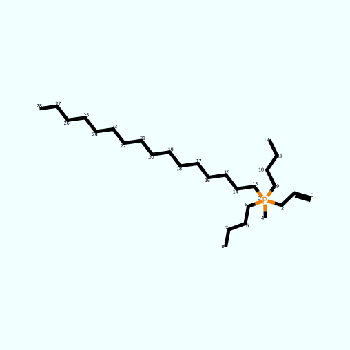 C=CCP(C)(CCCC)(CCCC)CCCCCCCCCCCCCCCC